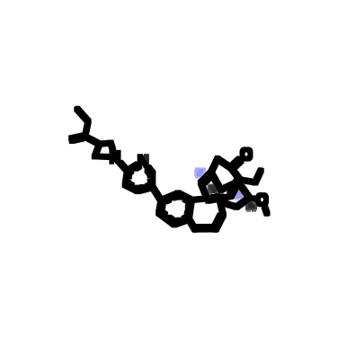 C=C(CC)C1CN(c2ccc(-c3ccc4c(c3)C3=C(C=C=C4)/C=C(/CC)C(=O)C/C([C@H]4CC[C@H](OC)C4)=C/3)cn2)C1